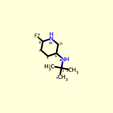 CC(C)(C)NC1CCC(F)NC1